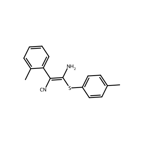 [C-]#[N+]/C(=C(/N)Sc1ccc(C)cc1)c1ccccc1C